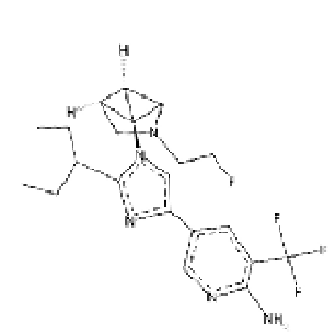 CCC(CC)c1nc(-c2cnc(N)c(C(F)(F)F)c2)cn1[C@]12C3[C@@H]1[C@@H]2CN3CCF